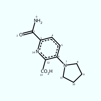 NC(=O)c1ccc(N2CCCC2)c(C(=O)O)n1